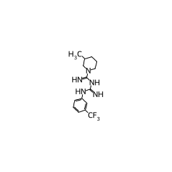 CC1CCCN(C(=N)NC(=N)Nc2cccc(C(F)(F)F)c2)C1